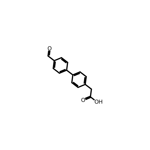 O=Cc1ccc(-c2ccc(CC(=O)O)cc2)cc1